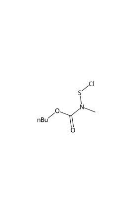 CCCCOC(=O)N(C)SCl